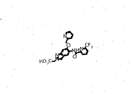 O=C(O)Cn1cc2cc(NC(=O)c3cccc(C(F)(F)F)n3)c(OCc3ccccn3)cc2n1